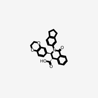 O=C(O)[C@H]1c2ccccc2C(=O)N(c2ccc3c(c2)CCC3)[C@@H]1c1ccc2c(c1)OCCO2